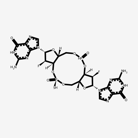 Nc1nc2c(ncn2[C@@H]2O[C@@H]3CO[P@@](=O)(S)O[C@H]4[C@@H](F)[C@H](n5cnc6c(=O)[nH]c(N)nc65)O[C@@H]4CO[PH](=O)O[C@H]3[C@H]2F)c(=O)[nH]1